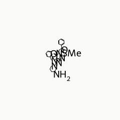 CSc1nc2nc(N3CCCC(N)C3)n(Cc3ccccc3)c2c(=O)n1CC(=O)c1ccccc1